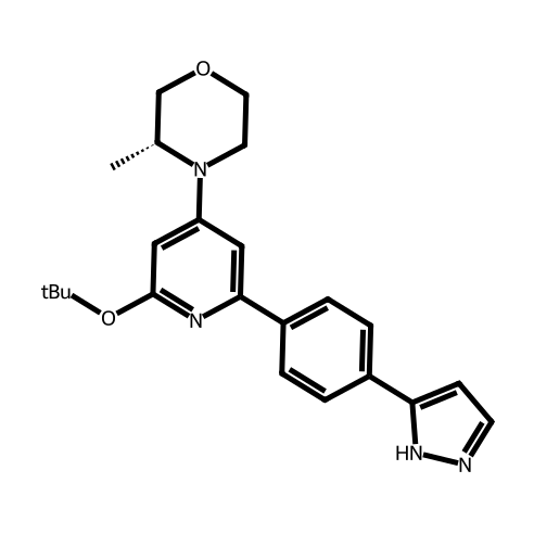 C[C@@H]1COCCN1c1cc(OC(C)(C)C)nc(-c2ccc(-c3ccn[nH]3)cc2)c1